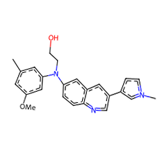 COc1cc(C)cc(N(CCO)c2ccc3ncc(-c4ccn(C)c4)cc3c2)c1